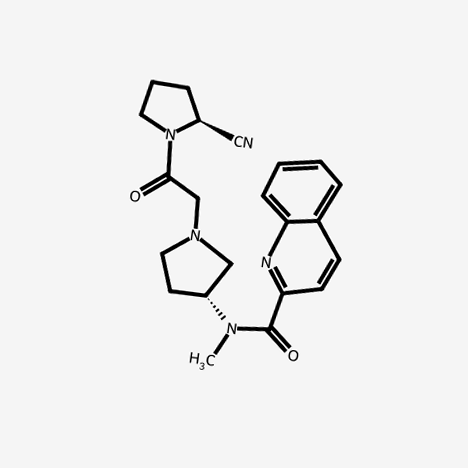 CN(C(=O)c1ccc2ccccc2n1)[C@@H]1CCN(CC(=O)N2CCC[C@H]2C#N)C1